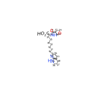 O=C(O)C(CCCCCCCc1ccc2c(n1)NCCC2)NC(=O)[C@H]1CCOC1